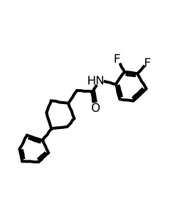 O=C(CC1CCC(c2ccccc2)CC1)Nc1cccc(F)c1F